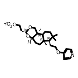 CC1(C)CCC2[C@]3(C)CO[C@@H](CCC(=O)O)O[C@@H]3CC[C@@]2(C)[C@@H]1CCOc1ccncc1